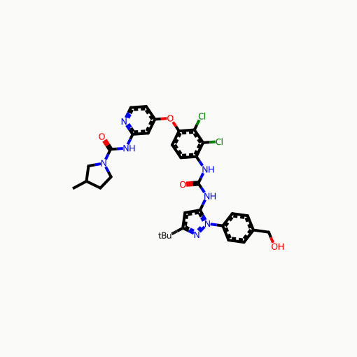 CC1CCN(C(=O)Nc2cc(Oc3ccc(NC(=O)Nc4cc(C(C)(C)C)nn4-c4ccc(CO)cc4)c(Cl)c3Cl)ccn2)C1